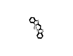 CCN1C(=Cc2nc3ccccc3s2)Sc2ccccc21